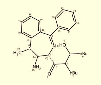 CCCCC(O)C(CCCC)C(=O)[C@H]1N=C(c2ccccc2)c2ccccc2N(C)C1N